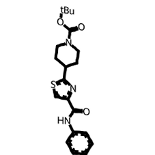 CC(C)(C)OC(=O)N1CCC(c2nc(C(=O)Nc3ccccc3)cs2)CC1